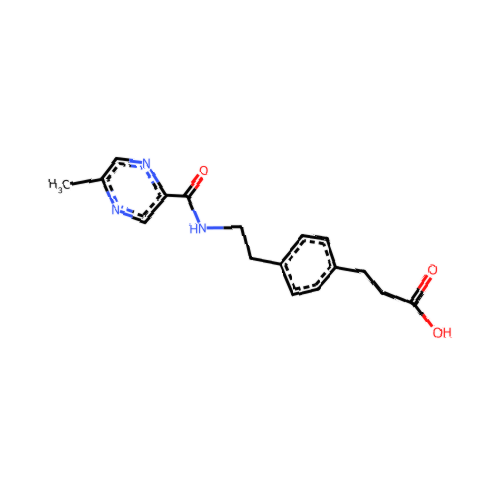 Cc1cnc(C(=O)NCCc2ccc(CCC(=O)O)cc2)cn1